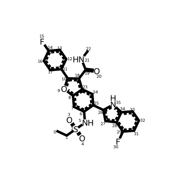 CCS(=O)(=O)Nc1cc2oc(-c3ccc(F)cc3)c(C(=O)NC)c2cc1-c1cc2c(F)cccc2[nH]1